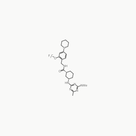 CNc1nc(C)nc(N[C@@H]2CCC[C@H](C(=O)NCc3ccc(N4CCCCC4)cc3OC(F)(F)F)C2)n1